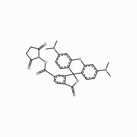 CN(C)c1ccc2c(c1)Oc1cc(N(C)C)ccc1C21OC(=O)c2ccc(C(=O)ON3C(=O)CCC3=O)cc21